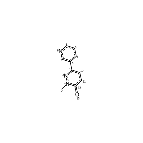 Cn1nc(-c2cccnc2)ccc1=O